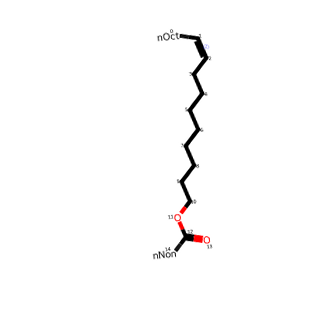 CCCCCCCC/C=C\CCCCCCCCOC(=O)CCCCCCCCC